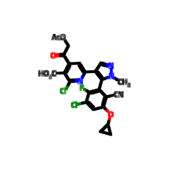 CC(=O)OCC(=O)c1cc(-c2cnn(C)c2-c2c(F)c(Cl)cc(OC3CC3)c2C#N)nc(Cl)c1C(=O)O